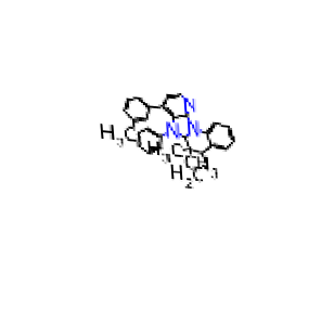 C=CC1c2ccccc2N2c3nccc(-c4cccc(C)c4)c3N(c3ccccc3)C2C1(C)C